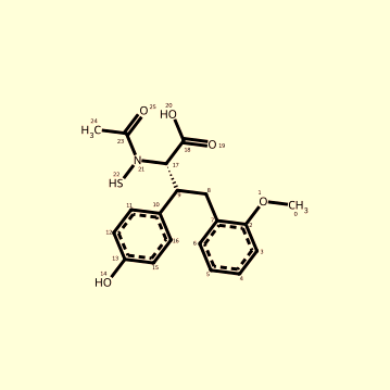 COc1ccccc1CC(c1ccc(O)cc1)[C@@H](C(=O)O)N(S)C(C)=O